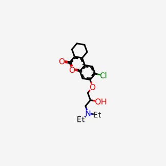 CCN(CC)CC(O)COc1cc2oc(=O)c3c(c2cc1Cl)CCCC3